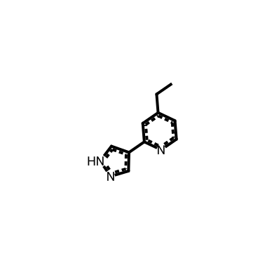 CCc1ccnc(-c2cn[nH]c2)c1